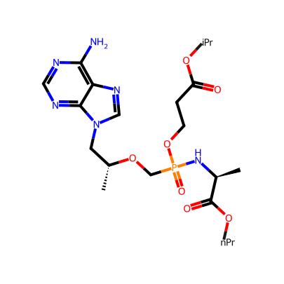 CCCOC(=O)[C@H](C)NP(=O)(CO[C@H](C)Cn1cnc2c(N)ncnc21)OCCC(=O)OC(C)C